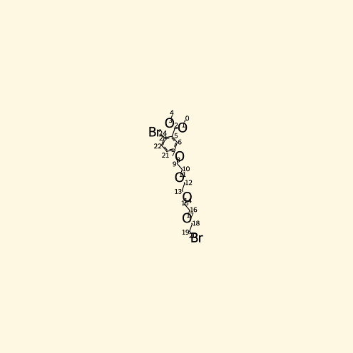 COC(OC)c1cc(OCCOCCOCCOCCBr)ccc1Br